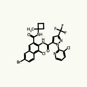 CC1(NC(=O)c2cc3cc(Br)ccc3c(Cl)c2NC(=O)c2cc(C(F)(F)F)nn2-c2ncccc2Cl)CCC1